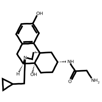 NCC(=O)N[C@@H]1CC[C@@]2(O)[C@H]3Cc4ccc(O)cc4[C@@]2(CCN3CC2CC2)C1